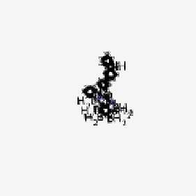 B/C=C(/C1OC1/C(=C/B)c1c(B)c(B)c(B)c(B)c1B)N(c1ccccc1)c1ccc(-c2ccc3[nH]c4ccccc4c3c2)cc1